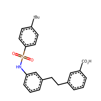 CC(C)(C)c1ccc(S(=O)(=O)Nc2cccc(CCc3cccc(C(=O)O)c3)c2)cc1